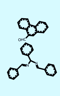 C(=NC(N=Cc1ccccc1)c1ccccc1)c1ccccc1.O=Cc1cc2ccccc2c2ccccc12